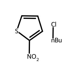 CCCCCl.O=[N+]([O-])c1cccs1